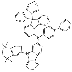 CC1(C)CCC(C)(C)c2cc(-n3c4ccccc4c4ccc(N(c5ccc(-c6ccccc6)cc5)c5cccc6c5-c5ccccc5C6(c5ccccc5)c5ccccc5)cc43)ccc21